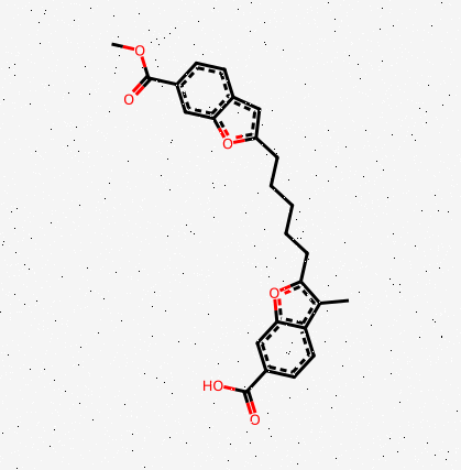 COC(=O)c1ccc2cc(CCCCCc3oc4cc(C(=O)O)ccc4c3C)oc2c1